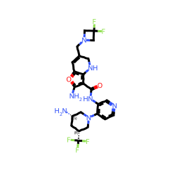 Nc1oc2c(c1C(=O)Nc1cnccc1N1C[C@@H](N)C[C@@H](C(F)(F)F)C1)NCC(CN1CC(F)(F)C1)=C2